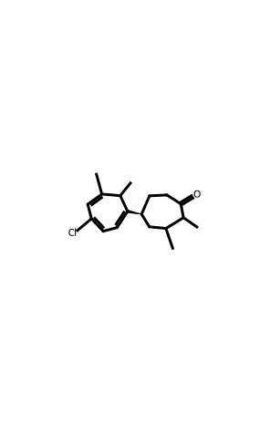 CC1=CC(Cl)=CC=C([C@H]2CCC(=O)C(C)C(C)C2)C1C